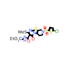 CCOC(=O)CNC(=O)c1c(SC)nc2sc3c(n2c1=O)CCN(S(=O)(=O)c1ccc(Cl)s1)C3